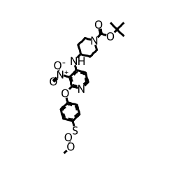 COOSc1ccc(Oc2nccc(NC3CCN(C(=O)OC(C)(C)C)CC3)c2[N+](=O)[O-])cc1